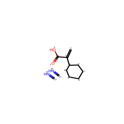 C=C(C(=O)O)C1CCCCC1.C=N.C=N